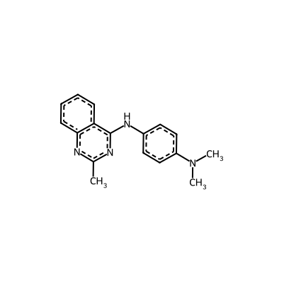 Cc1nc(Nc2ccc(N(C)C)cc2)c2ccccc2n1